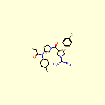 CCC(=O)N(C1CCC(C)CC1)[C@H]1CCN(C(=O)[C@@H]2CN(C(N)N)C[C@H]2c2ccc(Cl)cc2)C1